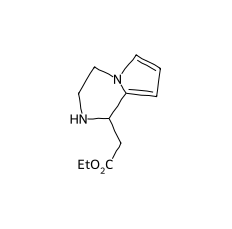 CCOC(=O)CC1NCCn2cccc21